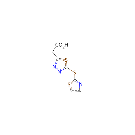 O=C(O)Cc1nnc(Sc2nccs2)s1